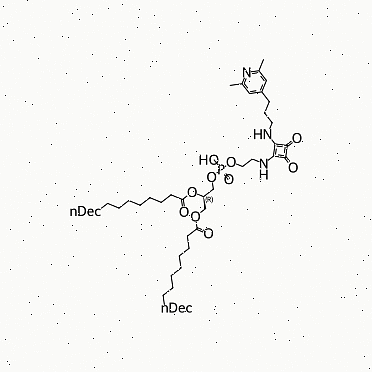 CCCCCCCCCCCCCCCCCC(=O)OC[C@H](COP(=O)(O)OCCNc1c(NCCCc2cc(C)nc(C)c2)c(=O)c1=O)OC(=O)CCCCCCCCCCCCCCCCC